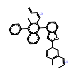 C=C/C=C\c1c(C)c(-c2ccccc2)c2ccccc2c1-c1cccc2sc(C3C=CC(C)=C(/C=C\C)C3)cc12